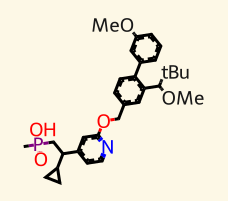 COc1cccc(-c2ccc(COc3cc(C(CP(C)(=O)O)C4CC4)ccn3)cc2C(OC)C(C)(C)C)c1